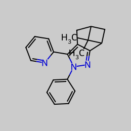 CC1(C)C2Cc3c(nn(-c4ccccc4)c3-c3ccccn3)C1C2